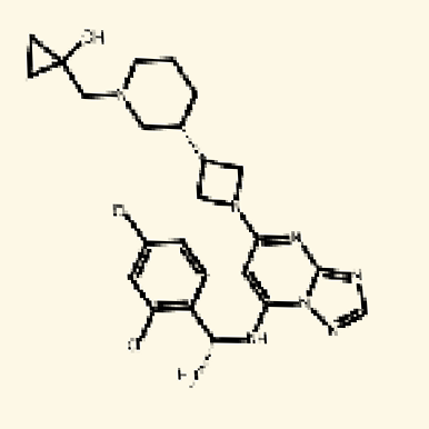 C[C@@H](Nc1cc(N2CC([C@H]3CCCN(CC4(O)CC4)C3)C2)nc2ncnn12)c1ccc(Cl)cc1Cl